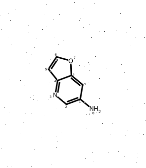 Nc1cnc2ccoc2c1